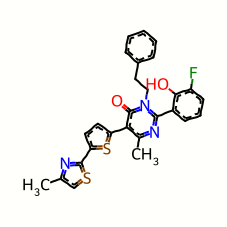 Cc1csc(-c2ccc(-c3c(C)nc(-c4cccc(F)c4O)n(CCc4ccccc4)c3=O)s2)n1